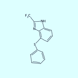 FC(F)(F)c1nc2c(Sc3ccccc3)cccc2[nH]1